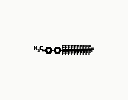 CCc1ccc([C@H]2CC[C@H](C(F)(F)C(F)(F)C(F)(F)C(F)(F)C(F)(F)C(F)(F)C(F)(F)C(F)(F)C(F)(F)C(F)(F)F)CC2)cc1